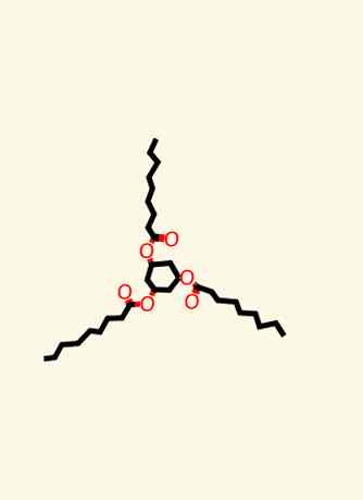 CCCCCCCCC(=O)OC1CC(OC(=O)CCCCCCCC)CC(OC(=O)CCCCCCCC)C1